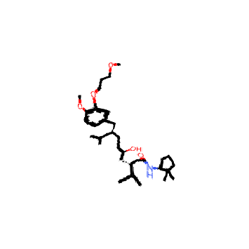 COCCCOc1cc(C[C@@H](CC[C@@H](O)C[C@H](C(=O)N[C@H]2CCCC2(C)C)C(C)C)C(C)C)ccc1OC